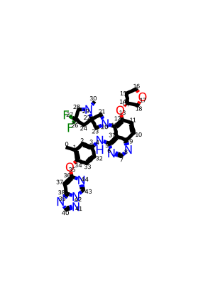 Cc1cc(Nc2ncnc3ccc(O[C@H]4CCOC4)c(N4CC5(C4)CC(F)(F)CN5C)c23)ccc1Oc1cc2ncnn2cn1